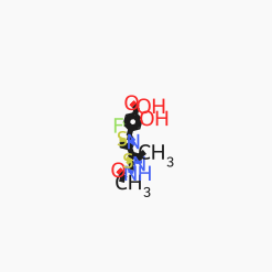 CC(=O)Nc1nc(C)c(-c2csc(-c3cc(O)c(C(=O)O)cc3F)n2)s1